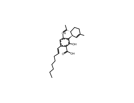 C=C(C)[C@@H]1CCC(C)=C[C@H]1c1c(O)cc(/C=C/CCCCCC)c(C(=O)O)c1O